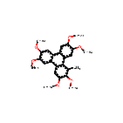 CCCCCCOc1cc2c3cc(OCCCCCC)c(OCCCCCC)cc3c3c(C)c(OCCCCCC)c(OCCCCCC)cc3c2cc1OCCCCCC